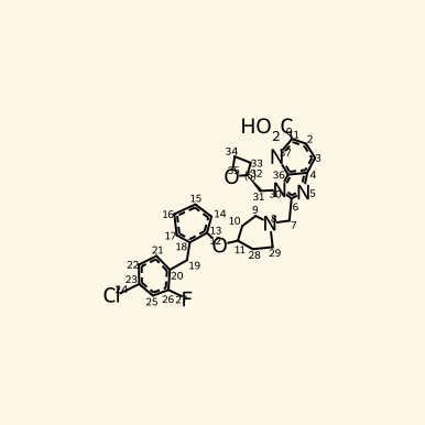 O=C(O)c1ccc2nc(CN3CCC(Oc4ccccc4Cc4ccc(Cl)cc4F)CC3)n(C[C@@H]3CCO3)c2n1